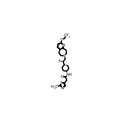 Cc1ncc(CC(=O)N[C@H]2CC[C@H]([C@@H](F)CN3CCc4ccc(OCC(F)(F)F)nc4CC3)CC2)s1